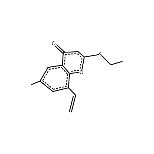 C=Cc1cc(C)cc2c(=O)cc(SCC)oc12